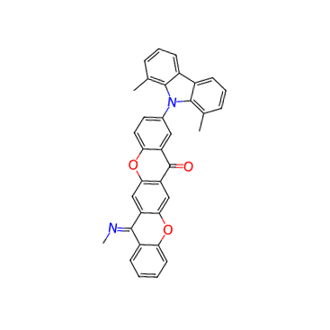 C/N=c1\c2ccccc2oc2cc3c(=O)c4cc(-n5c6c(C)cccc6c6cccc(C)c65)ccc4oc3cc12